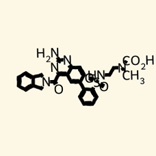 CN(CCNS(=O)(=O)c1ccccc1-c1ccc2nc(N)nc(C(=O)N3Cc4ccccc4C3)c2c1)C(=O)O